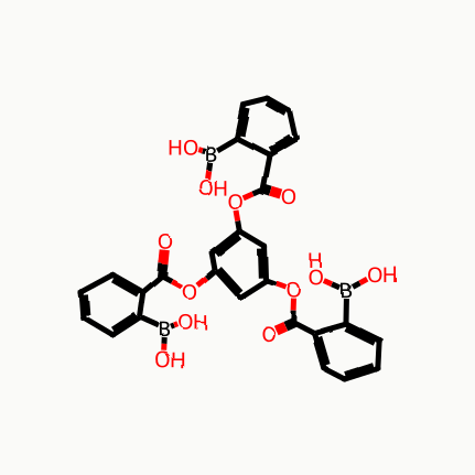 O=C(Oc1cc(OC(=O)c2ccccc2B(O)O)cc(OC(=O)c2ccccc2B(O)O)c1)c1ccccc1B(O)O